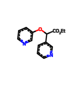 CCOC(=O)C(Oc1cccnc1)c1cccnc1